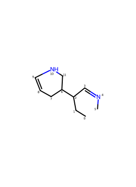 CCC(/C=N\C)C1CC=CNC1